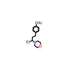 CCC(CCc1ccc(OC(C)=O)cc1)N1CCOCC1